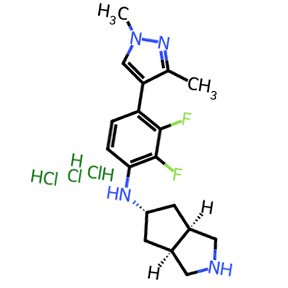 Cc1nn(C)cc1-c1ccc(N[C@@H]2C[C@H]3CNC[C@H]3C2)c(F)c1F.Cl.Cl.Cl